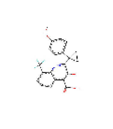 COc1ccc(C2(c3nc4c(C(F)(F)F)cccc4c(C(=O)O)c3O)CC2)cc1